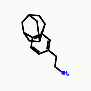 NCCc1ccc2c(c1)C1CC3CC(CC2C3)C1